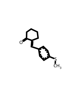 CSc1ccc(C=C2CCCCC2=O)cc1